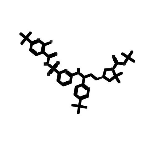 CC(C)(C)OC(=O)N1C[C@@H](CCC(Nc2cccc(S(=O)(=O)NC(=O)c3ccc(C(C)(C)C)nc3F)n2)c2ccc(C(C)(C)C)cn2)CC1(C)C